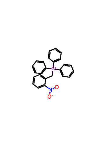 O=[N+]([O-])c1ccccc1C[P+](c1ccccc1)(c1ccccc1)c1ccccc1